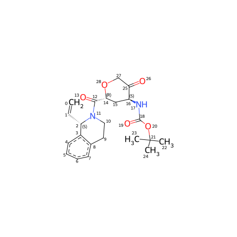 C=C[C@H]1c2ccccc2CCN1C(=O)[C@H]1C[C@H](NC(=O)OC(C)(C)C)C(=O)CO1